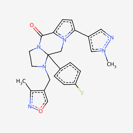 Cc1nocc1CN1CCN2C(=O)c3ccc(-c4cnn(C)c4)n3CC12c1ccc(F)cc1